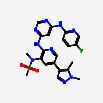 Cc1c(-c2cnc(Nc3cc(Nc4ccc(F)cn4)ncn3)c(N(C)S(C)(=O)=O)c2)cnn1C